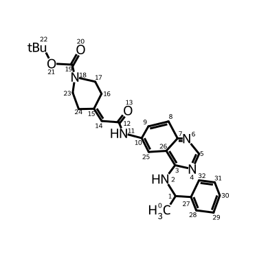 CC(Nc1ncnc2ccc(NC(=O)C=C3CCN(C(=O)OC(C)(C)C)CC3)cc12)c1ccccc1